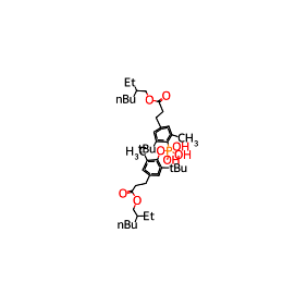 CCCCC(CC)COC(=O)CCc1cc(C)c(OP(O)(O)(O)c2c(C)cc(CCC(=O)OCC(CC)CCCC)cc2C(C)(C)C)c(C(C)(C)C)c1